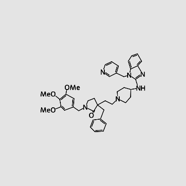 COc1cc(CN2CCC(CCN3CCC(Nc4nc5ccccc5n4Cc4cccnc4)CC3)(Cc3ccccc3)C2=O)cc(OC)c1OC